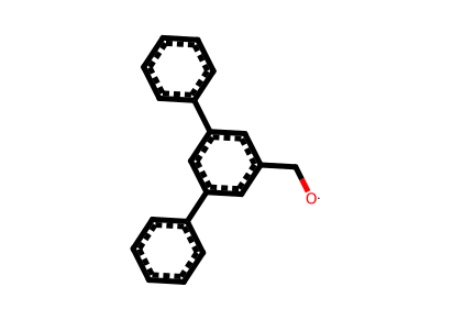 [O]Cc1cc(-c2ccccc2)cc(-c2ccccc2)c1